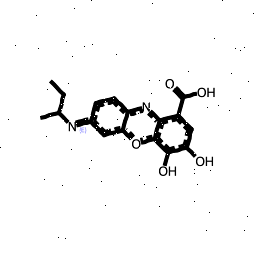 CCC(C)/N=c1\ccc2nc3c(C(=O)O)cc(O)c(O)c3oc-2c1